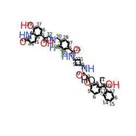 O=C(COc1cccc([C@](O)(C(=O)O)c2ccccc2)c1)NC1CC(NC(=O)c2ccc(CNC[C@H](O)c3ccc(O)c4[nH]c(=O)ccc34)c(F)c2F)C1